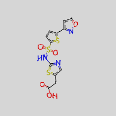 O=C(O)Cc1cnc(NS(=O)(=O)c2ccc(-c3ccon3)s2)s1